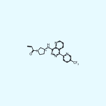 C=CC(=O)N1CC[C@H](Nc2nnc(-c3ccc(C(F)(F)F)cn3)c3cccnc23)C1